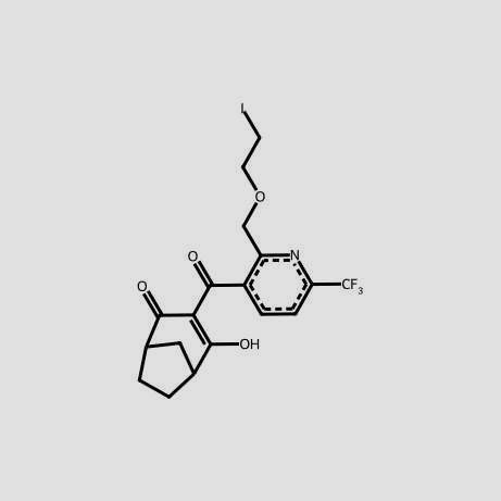 O=C(C1=C(O)C2CCC(C2)C1=O)c1ccc(C(F)(F)F)nc1COCCI